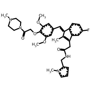 COc1cc(C=C2C(C)=C(CC(=O)NCc3cccn3C)c3cc(F)ccc32)cc(OC)c1OCC(=O)N1CCN(C)CC1